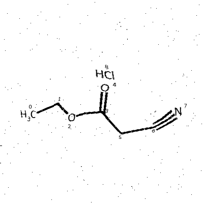 CCOC(=O)CC#N.Cl